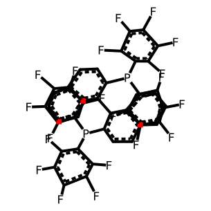 Fc1c(F)c(F)c(P(c2ccc3ccccc3c2-c2c(P(c3c(F)c(F)c(F)c(F)c3F)c3c(F)c(F)c(F)c(F)c3F)ccc3ccccc23)c2c(F)c(F)c(F)c(F)c2F)c(F)c1F